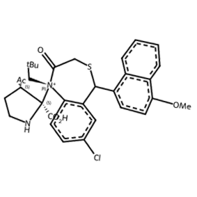 COc1ccc(C2SCC(=O)[N@@+](CC(C)(C)C)([C@@]3(C(=O)O)NCC[C@@H]3C(C)=O)c3ccc(Cl)cc32)c2ccccc12